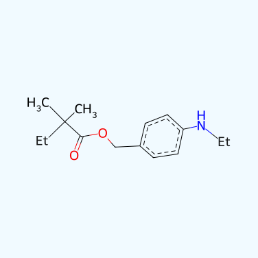 CCNc1ccc(COC(=O)C(C)(C)CC)cc1